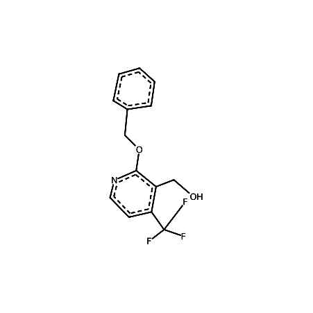 OCc1c(C(F)(F)F)ccnc1OCc1ccccc1